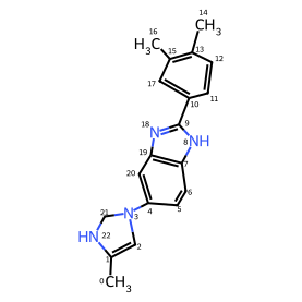 CC1=CN(c2ccc3[nH]c(-c4ccc(C)c(C)c4)nc3c2)CN1